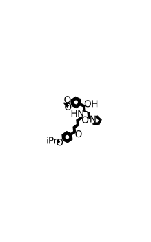 CC(C)Oc1ccc(C(=O)CCCC(=O)N[C@H](CCN2CCCC2)[C@H](O)c2ccc3c(c2)OCO3)cc1